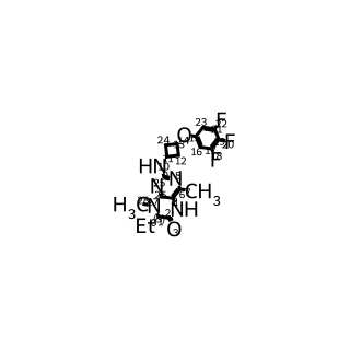 CC[C@H]1C(=O)Nc2c(C)nc(N[C@H]3C[C@H](Oc4cc(F)c(F)c(F)c4)C3)nc2N1C